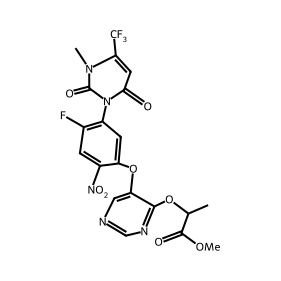 COC(=O)C(C)Oc1ncncc1Oc1cc(-n2c(=O)cc(C(F)(F)F)n(C)c2=O)c(F)cc1[N+](=O)[O-]